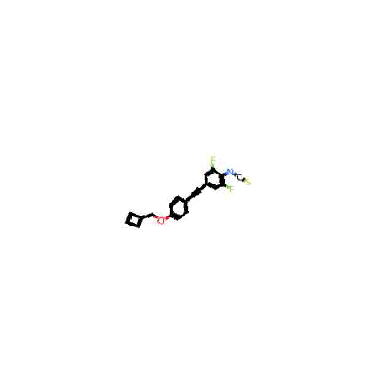 Fc1cc(C#Cc2ccc(OCC3CCC3)cc2)cc(F)c1N=C=S